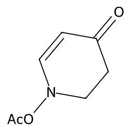 CC(=O)ON1C=CC(=O)CC1